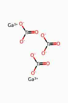 [Ga+3].[Ga+3].[O]=[Ti]([O-])[O-].[O]=[Ti]([O-])[O-].[O]=[Ti]([O-])[O-]